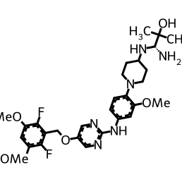 COc1cc(Nc2ncc(OCc3c(F)c(OC)cc(OC)c3F)cn2)ccc1N1CCC(N[C@@H](N)C(C)(C)O)CC1